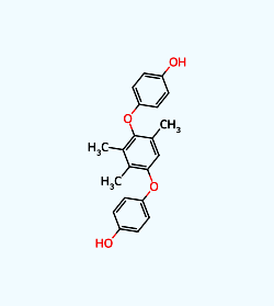 Cc1cc(Oc2ccc(O)cc2)c(C)c(C)c1Oc1ccc(O)cc1